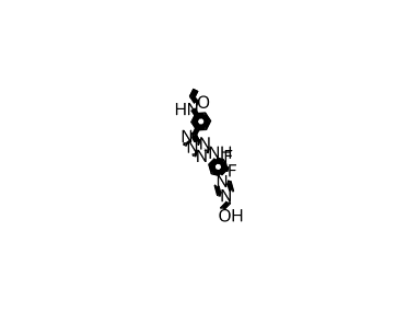 C=CC(=O)Nc1cccc(-c2ncn3cnc(Nc4ccc(N5CCN(CCO)CC5)c(F)c4F)nc23)c1